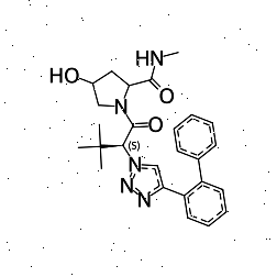 CNC(=O)C1CC(O)CN1C(=O)[C@@H](n1cc(-c2ccccc2-c2ccccc2)nn1)C(C)(C)C